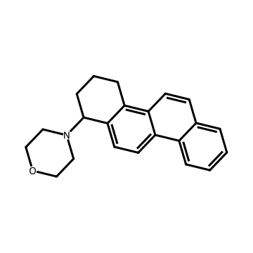 c1ccc2c(c1)ccc1c3c(ccc12)C(N1CCOCC1)CCC3